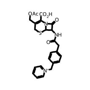 CC(=O)OCC1=C(C(=O)O)N2C(=O)C(NC(=O)Cc3ccc(C[n+]4ccccc4)cc3)C2SC1